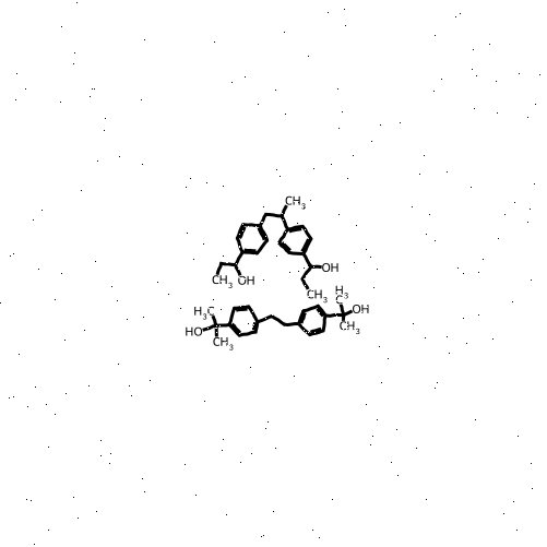 CC(C)(O)c1ccc(CCc2ccc(C(C)(C)O)cc2)cc1.CCC(O)c1ccc(CC(C)c2ccc(C(O)CC)cc2)cc1